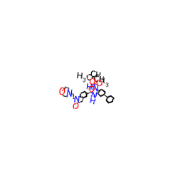 CC(C)(C)OC(=O)Nc1ccc(-c2ccccc2)cc1NC(=O)c1ccc2c(c1)CC(=O)N2CCN1CCOCC1